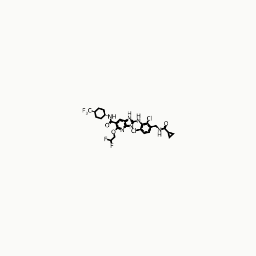 O=C(N[C@H]1CC[C@H](C(F)(F)F)CC1)c1cc2[nH]c(Nc3c(Cl)ccc(CNC(=O)C4CC4)c3Cl)nc2nc1OCC(F)F